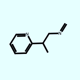 C=NCC(C)c1ccccn1